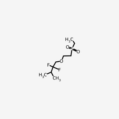 CCS(=O)(=O)CCOCC(F)(F)C(C)C